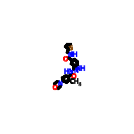 Cc1cc(N2CCOCC2)ccc1C(=O)Nc1n[nH]c2ccc(C(=O)NCc3cccs3)cc12